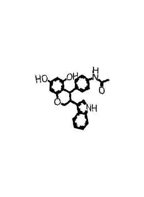 CC(=O)Nc1ccc(C2c3c(O)cc(O)cc3OCC2c2c[nH]c3ccccc23)cc1